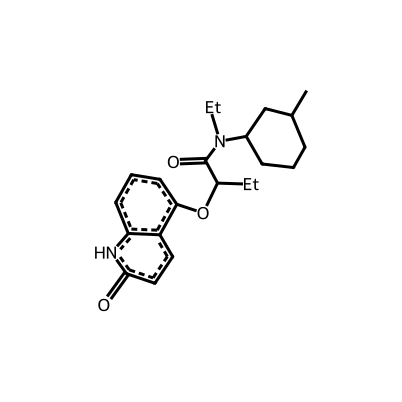 CCC(Oc1cccc2[nH]c(=O)ccc12)C(=O)N(CC)C1CCCC(C)C1